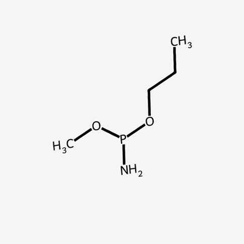 CCCOP(N)OC